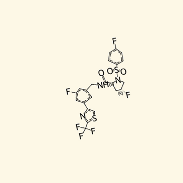 O=C(NCc1cc(F)cc(-c2csc(C(F)(F)F)n2)c1)[C@@H]1C[C@@H](F)CN1S(=O)(=O)c1ccc(F)cc1